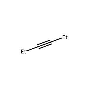 CCC#CCC